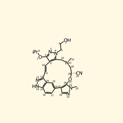 CC(C)Oc1nn(CCO)c2c1/C=C/c1n[nH]c3ccc(cc13)-c1cnn(C)c1O[C@@H](C#N)CN(C)C2